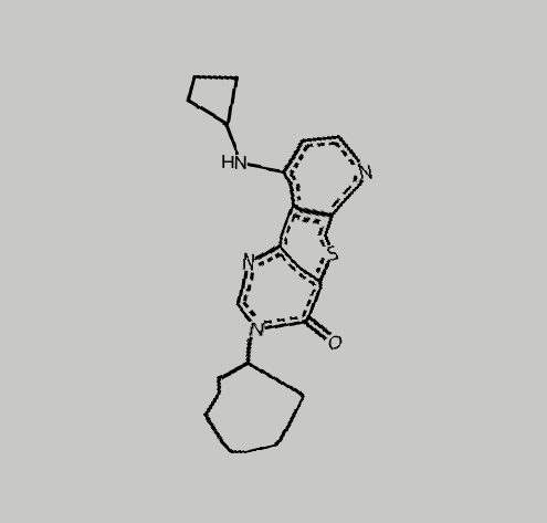 O=c1c2sc3nccc(NC4CCC4)c3c2ncn1C1CCCCC1